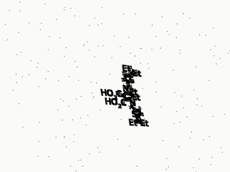 CCN(CC)c1ccc(C=NC2=C(C(=O)O)C(C(=O)O)=C(N=Cc3ccc(N(CC)CC)s3)S2(CC)CC)s1